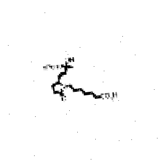 CCCCCC(C)(O)C=CC1CCC(=O)N1CCCCCCC(=O)O